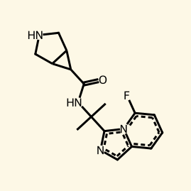 CC(C)(NC(=O)C1C2CNCC21)c1ncc2cccc(F)n12